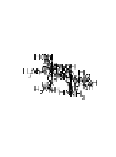 C[C@@H](O)[C@H](NC(=O)[C@H](CCCNC(=N)N)NC(=O)[C@H](CCCCN)NC(=O)[C@H](CC(=O)O)NC(=O)CN)C(=O)N[C@@H](CCCNC(=N)N)C(=O)NCC(=O)N[C@@H](CS)C(=O)O